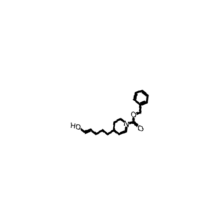 O=C(OCc1ccccc1)N1CCC(CCCC=CO)CC1